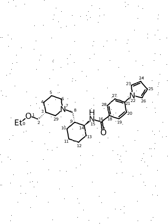 CCOC[C@@H]1CCCN(C[C@H]2CCCC[C@@H]2NC(=O)c2ccc(-n3cccc3)cc2)C1